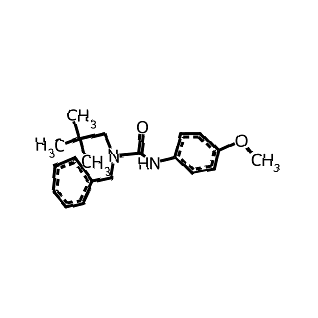 COc1ccc(NC(=O)N(Cc2ccccc2)CC(C)(C)C)cc1